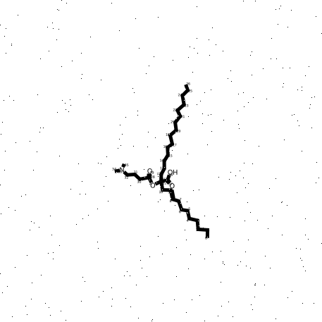 CCCCCCCC/C=C/CC(CCCCCCCCCCCCCCC)(OC(=O)CCCN(C)C)C(=O)O